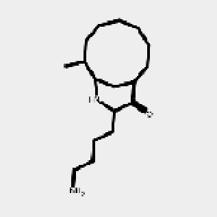 CC1CCCCCCC2CC1NC(CCCCN)C2=O